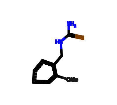 COc1ccccc1CNC(N)=S